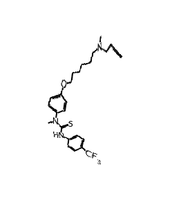 C=CCN(C)CCCCCCOc1ccc(N(C)C(=S)Nc2ccc(C(F)(F)F)cc2)cc1